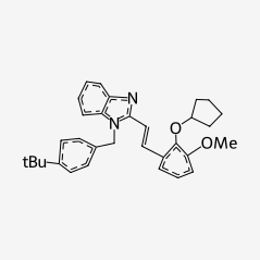 COc1cccc(/C=C/c2nc3ccccc3n2Cc2ccc(C(C)(C)C)cc2)c1OC1CCCC1